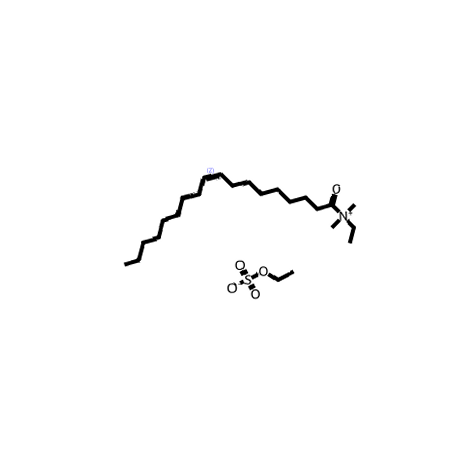 CCCCCCCC/C=C\CCCCCCCC(=O)[N+](C)(C)CC.CCOS(=O)(=O)[O-]